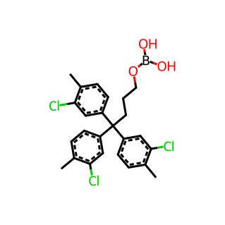 Cc1ccc(C(CCCOB(O)O)(c2ccc(C)c(Cl)c2)c2ccc(C)c(Cl)c2)cc1Cl